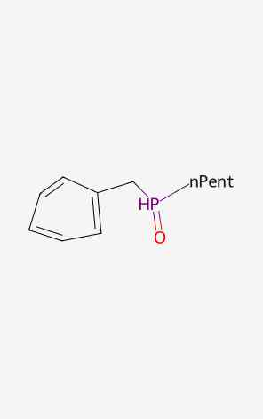 CCCCC[PH](=O)Cc1ccccc1